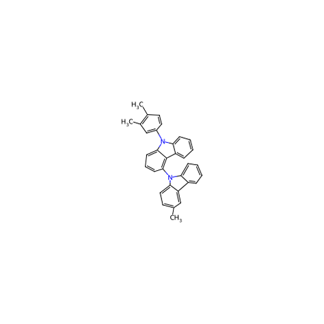 Cc1ccc2c(c1)c1ccccc1n2-c1cccc2c1c1ccccc1n2-c1ccc(C)c(C)c1